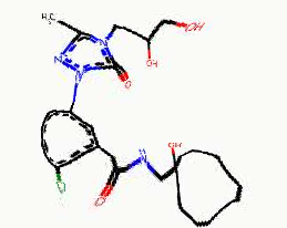 Cc1nn(-c2ccc(Cl)c(C(=O)NCC3(O)CCCCCC3)c2)c(=O)n1CC(O)CO